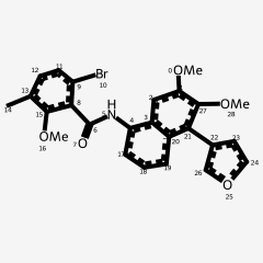 COc1cc2c(NC(=O)c3c(Br)ccc(C)c3OC)cccc2c(-c2ccoc2)c1OC